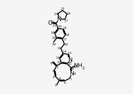 C=C1/C=C\C(C)=C/C/N=C(/N)c2ncc(CCc3ccc(C(=O)N4CCCC4)cc3C)cc21